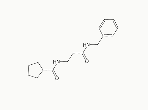 O=C(CCNC(=O)C1CCCC1)NCc1ccccc1